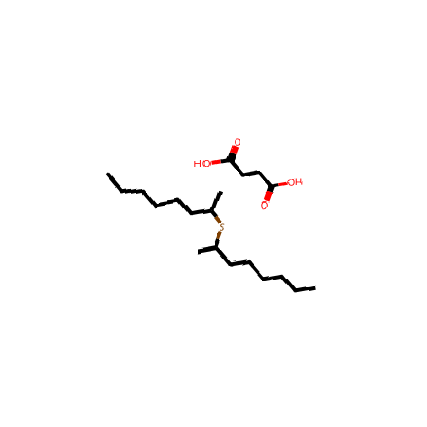 CCCCCCC(C)SC(C)CCCCCC.O=C(O)CCC(=O)O